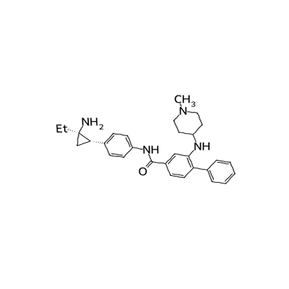 CC[C@@]1(N)C[C@H]1c1ccc(NC(=O)c2ccc(-c3ccccc3)c(NC3CCN(C)CC3)c2)cc1